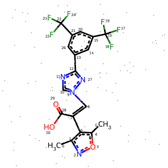 Cc1noc(C)c1/C(=C/n1cnc(-c2cc(C(F)(F)F)cc(C(F)(F)F)c2)n1)C(=O)O